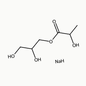 CC(O)C(=O)OCC(O)CO.[NaH]